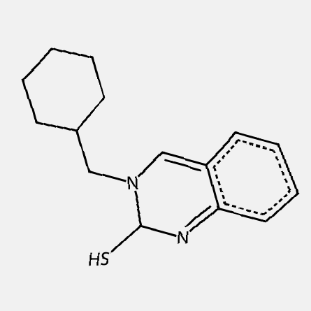 SC1N=c2ccccc2=CN1CC1CCCCC1